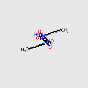 CCCCCCCCCCCCn1c2nc(=O)[nH]c(=O)c-2nc2cc3c(cc21)nc1c(=O)[nH]c(=O)nc-1n3CCCCCCCCCCCC